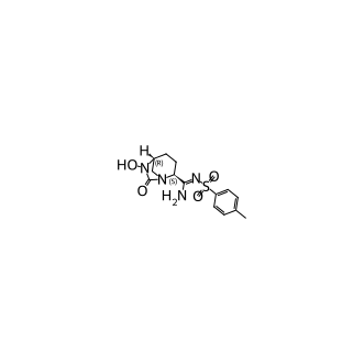 Cc1ccc(S(=O)(=O)N=C(N)[C@@H]2CC[C@@H]3CN2C(=O)N3O)cc1